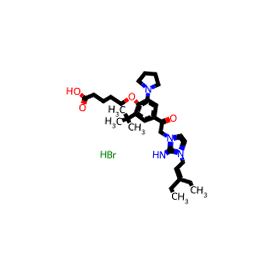 Br.CCC(=CCn1ccn(CC(=O)c2cc(N3CCCC3)c(OCCCCC(=O)O)c(C(C)(C)C)c2)c1=N)CC